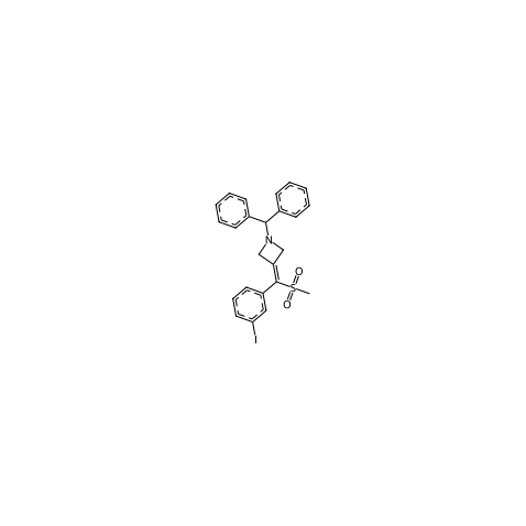 CS(=O)(=O)C(=C1CN(C(c2ccccc2)c2ccccc2)C1)c1cccc(I)c1